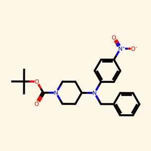 CC(C)(C)OC(=O)N1CCC(N(Cc2ccccc2)c2ccc([N+](=O)[O-])cc2)CC1